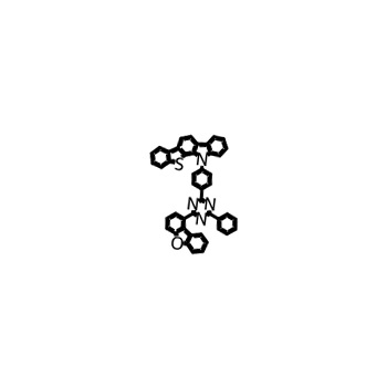 c1ccc(-c2nc(-c3ccc(-n4c5ccccc5c5ccc6c7ccccc7sc6c54)cc3)nc(-c3cccc4oc5ccccc5c34)n2)cc1